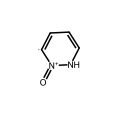 O=[n+]1[c]ccc[nH]1